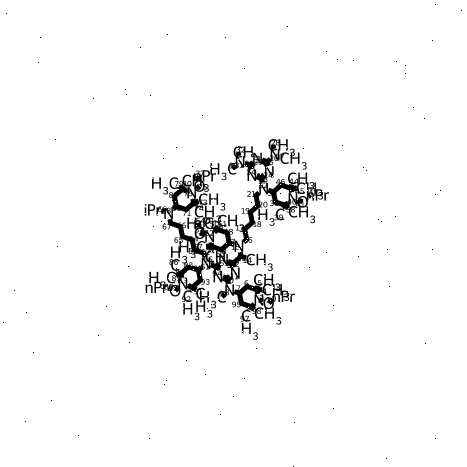 CCCON1C(C)(C)CC(N(C)c2nc(C(C)N(CCCCCCN(c3nc(N(C)C)nc(N(C)C)n3)C3CC(C)(C)N(OCCC)C(C)(C)C3)C3CC(C)(C)N(OCCC)C(C)(C)C3)nc(N(CCCCCCN(C(C)C)C3CC(C)(C)N(OCCC)C(C)(C)C3)C3CC(C)(C)N(OCCC)C(C)(C)C3)n2)CC1(C)C